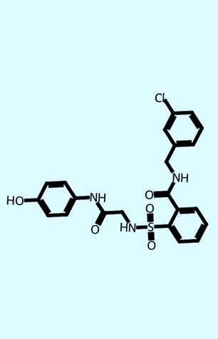 O=C(CNS(=O)(=O)c1ccccc1C(=O)NCc1cccc(Cl)c1)Nc1ccc(O)cc1